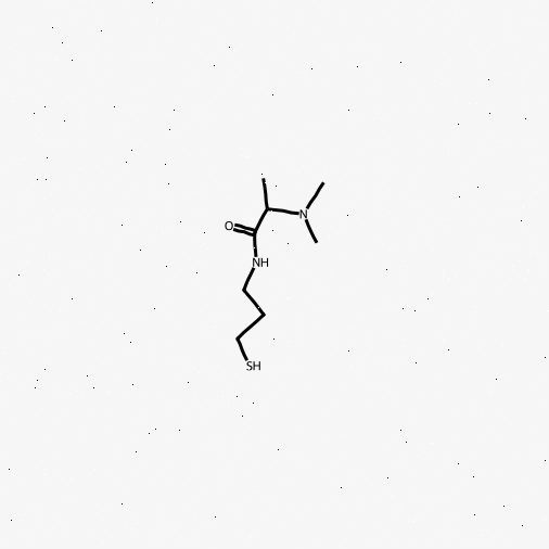 CC(C(=O)NCCCS)N(C)C